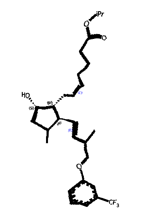 CC(/C=C/[C@H]1C(C)C[C@H](O)[C@@H]1C/C=C\CCCC(=O)OC(C)C)COc1cccc(C(F)(F)F)c1